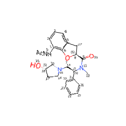 CC(=O)Nc1cccc2c1O[C@H](C(=O)N(C)[C@H](CN1CC[C@H](O)C1)c1ccccc1)C2